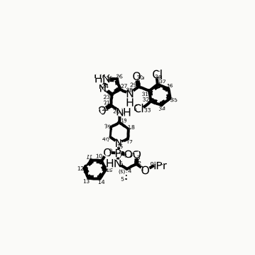 CC(C)OC(=O)[C@H](C)NP(=O)(Oc1ccccc1)N1CCC(NC(=O)c2n[nH]cc2NC(=O)c2c(Cl)cccc2Cl)CC1